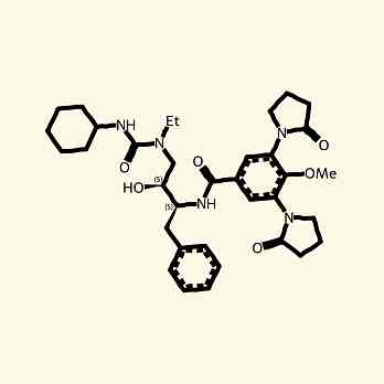 CCN(C[C@H](O)[C@H](Cc1ccccc1)NC(=O)c1cc(N2CCCC2=O)c(OC)c(N2CCCC2=O)c1)C(=O)NC1CCCCC1